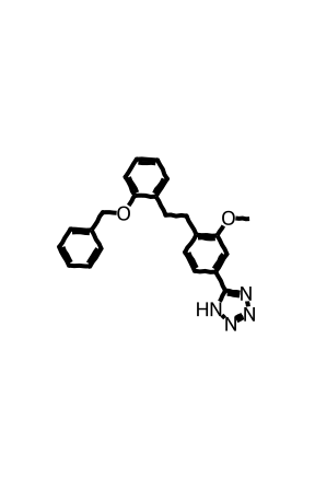 COc1cc(-c2nnn[nH]2)ccc1CCc1ccccc1OCc1ccccc1